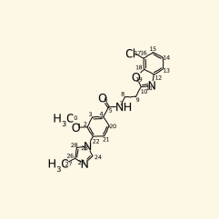 COc1cc(C(=O)NCCc2nc3cccc(Cl)c3o2)ccc1-n1cnc(C)c1